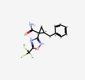 NC(=O)C1(c2noc(C(F)(F)F)n2)CC1Cc1ccccc1